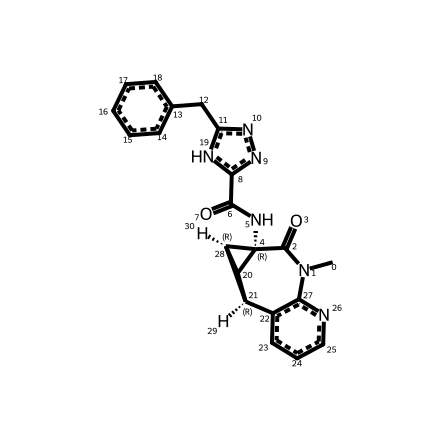 CN1C(=O)[C@@]2(NC(=O)c3nnc(Cc4ccccc4)[nH]3)C3[C@@H](c4cccnc41)[C@H]32